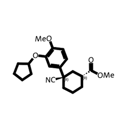 COC(=O)[C@@H]1CCC[C@](C#N)(c2ccc(OC)c(OC3CCCC3)c2)C1